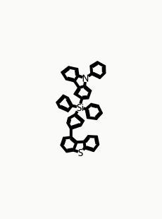 c1ccc(-n2c3ccccc3c3cc([Si](c4ccccc4)(c4ccccc4)c4ccc(-c5cccc6sc7ccccc7c56)cc4)ccc32)cc1